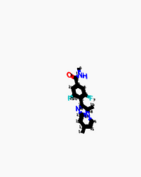 CNC(=O)c1cc(F)c(-c2nc3cc(C)ccn3c2C)c(F)c1